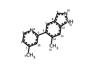 Cc1ccnc(-c2cc3cn[nH]c3cc2C)c1